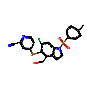 Cc1ccc(S(=O)(=O)n2ccc3c(C=O)c(Sc4ccnc(C#N)c4)c(F)cc32)cc1